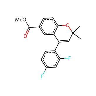 COC(=O)c1ccc2c(c1)C(c1ccc(F)cc1F)=CC(C)(C)O2